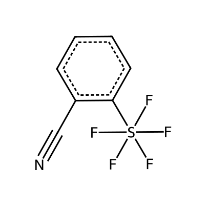 N#Cc1ccccc1S(F)(F)(F)(F)F